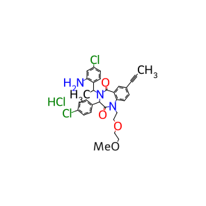 CC#Cc1ccc2c(c1)C(=O)N(C(C)c1ccc(Cl)cc1N)C(c1ccc(Cl)cc1)C(=O)N2CCOCCOC.Cl